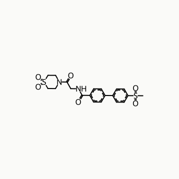 CS(=O)(=O)c1ccc(-c2ccc(C(=O)NCC(=O)N3CCS(=O)(=O)CC3)cc2)cc1